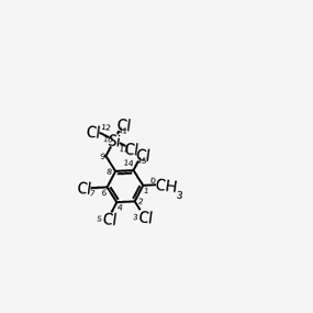 Cc1c(Cl)c(Cl)c(Cl)c(C[Si](Cl)(Cl)Cl)c1Cl